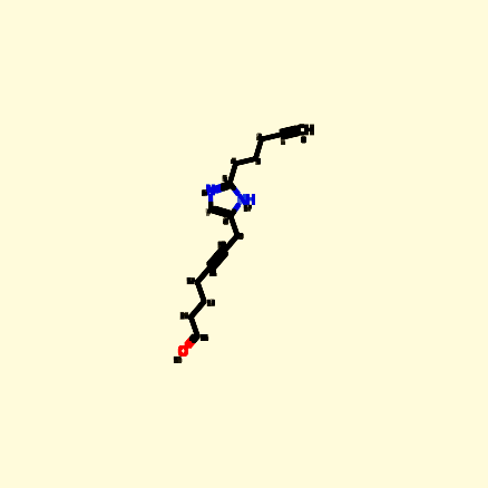 C#CCCCc1ncc(CC#CCCCC=O)[nH]1